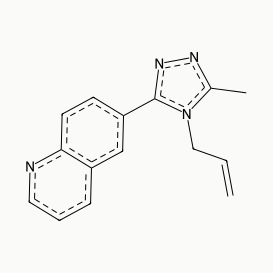 C=CCn1c(C)nnc1-c1ccc2ncccc2c1